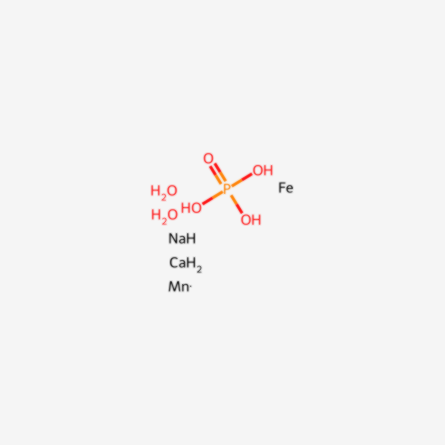 O.O.O=P(O)(O)O.[CaH2].[Fe].[Mn].[NaH]